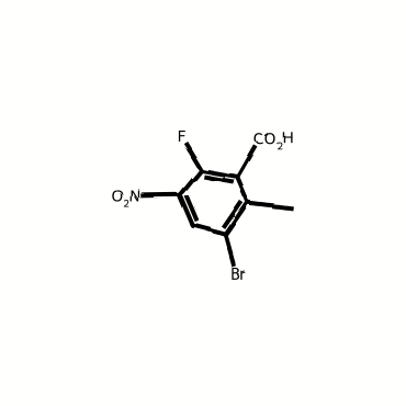 Cc1c(Br)cc([N+](=O)[O-])c(F)c1C(=O)O